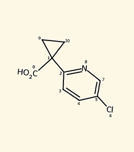 O=C(O)C1(c2ccc(Cl)cn2)CC1